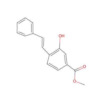 COC(=O)c1ccc(C=Cc2ccccc2)c(O)c1